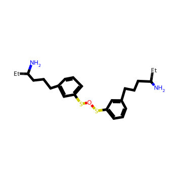 CCC(N)CCCc1cccc(SOSc2cccc(CCCC(N)CC)c2)c1